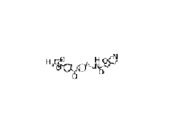 CS(=O)(=O)c1ccc(C(=O)N2CCC3(CC2)CC3CNC(=O)c2cc3ccncc3o2)cc1